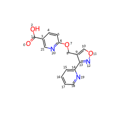 O=C(O)c1ccc(OCc2conc2-c2ccccn2)nc1